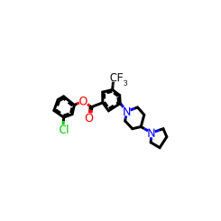 O=C(Oc1cccc(Cl)c1)c1cc(N2CCC(N3CCCC3)CC2)cc(C(F)(F)F)c1